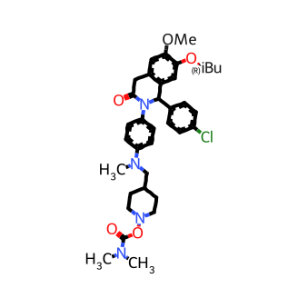 CC[C@@H](C)Oc1cc2c(cc1OC)CC(=O)N(c1ccc(N(C)CC3CCN(OC(=O)N(C)C)CC3)cc1)C2c1ccc(Cl)cc1